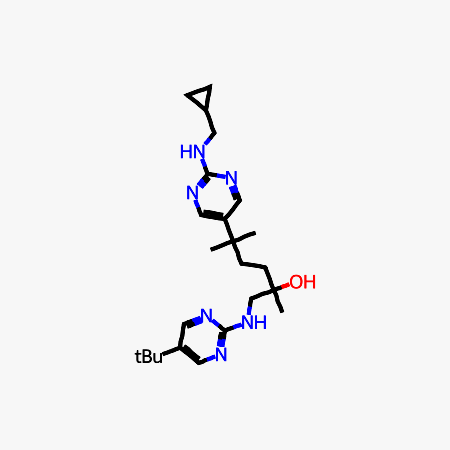 CC(O)(CCC(C)(C)c1cnc(NCC2CC2)nc1)CNc1ncc(C(C)(C)C)cn1